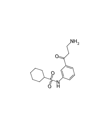 NCCC(=O)c1cccc(NS(=O)(=O)C2CCCCC2)c1